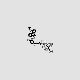 C[C@H](CCCCNC(=O)N[C@@H](CO)[C@@H](O)[C@H](O)[C@H](O)CO)c1ccc(Cl)c(COC2(c3cnccc3-c3ccccc3OC3CC3)CC2)c1